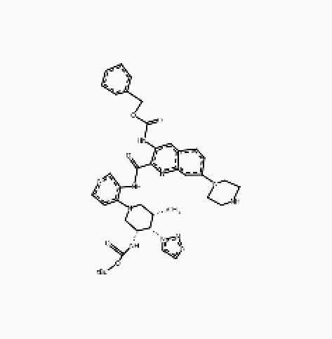 C[C@H]1CN(c2ccncc2NC(=O)c2nc3cc(N4CCNCC4)ccc3cc2NC(=O)OCc2ccccc2)C[C@@H](NC(=O)OC(C)(C)C)[C@H]1n1ccnn1